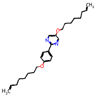 C=CCCCCCCOc1ccc(-c2ncc(OCCCCCCC=C)cn2)cc1